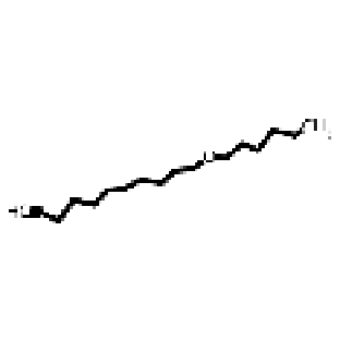 C#CCCCCCCCCCOCCCCCC